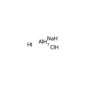 Cl.I.[AlH3].[NaH]